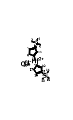 C[Si](C)(C)C1=CC[C]([Hf+2][C]2=CC([Si](C)(C)C)=CC2)=C1.[Cl-].[Cl-]